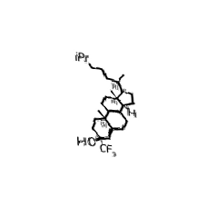 CC(C)CCC[C@@H](C)[C@H]1CC[C@H]2C3=C(CC[C@]12C)[C@@]1(C)CC[C@@](O)(C(F)(F)F)C=C1CC3